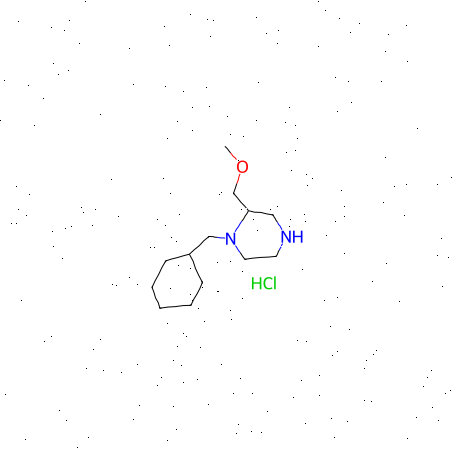 COCC1CNCCN1CC1CCCCC1.Cl